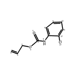 C=CCOC(=O)Nc1c[c]ccc1Cl